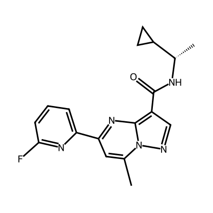 Cc1cc(-c2cccc(F)n2)nc2c(C(=O)N[C@@H](C)C3CC3)cnn12